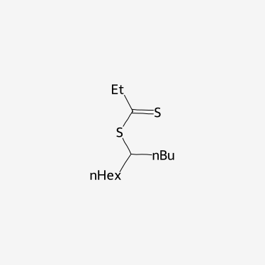 CCCCCCC(CCCC)SC(=S)CC